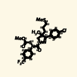 COC(=O)SN(C(=O)N1CC(C)(CCCSC)C(c2ccc(Cl)cc2)=N1)c1ccc(C(F)(F)F)cc1